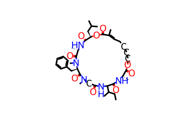 CCC(C)C1NC(=O)CN(C)C(=O)[C@@H](Cc2ccccc2)N(C)C(=O)[C@H](C)NC(=O)[C@@H](CC(C)C)OC(=O)/C(C)=C/CCCCOC(=O)[C@H](C)NC1=O